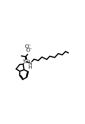 CCCCCCCCCC[NH][Ti+2](=[C](C)C)[CH]1CCC2C=CC=CC21.[Cl-].[Cl-]